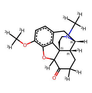 [2H]C([2H])([2H])Oc1ccc2c3c1OC1([2H])C(=O)C([2H])([2H])C[C@@]4([2H])[C@@H](C2)N(C([2H])([2H])[2H])CC[C@]314